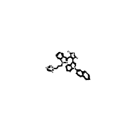 O=C1NC(=O)C(c2nn(CCCn3ncnn3)c3ccccc23)=C1c1cn(-c2ccc3ccccc3c2)c2ccccc12